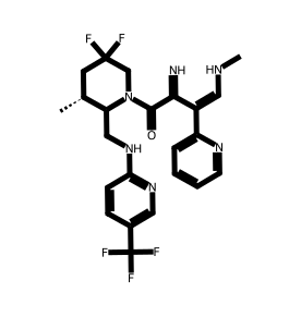 CN/C=C(\C(=N)C(=O)N1CC(F)(F)C[C@@H](C)C1CNc1ccc(C(F)(F)F)cn1)c1ccccn1